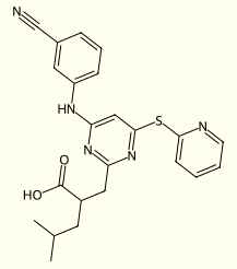 CC(C)CC(Cc1nc(Nc2cccc(C#N)c2)cc(Sc2ccccn2)n1)C(=O)O